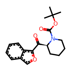 CC(C)(C)OC(=O)N1CCCC[C@H]1C(=O)c1occ2ccccc12